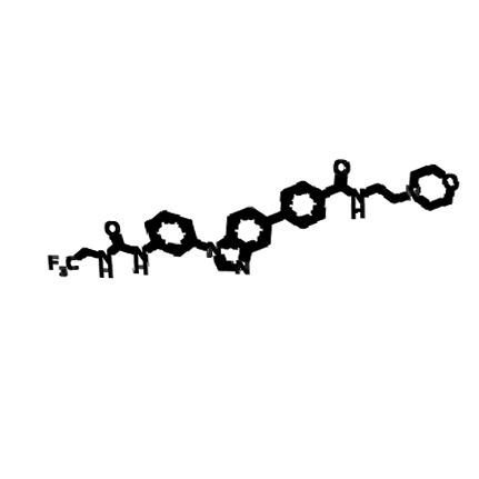 O=C(NCC(F)(F)F)Nc1cccc(-n2cnc3cc(-c4ccc(C(=O)NCCN5CCOCC5)cc4)ccc32)c1